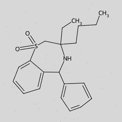 CCCCC1(CC)CS(=O)(=O)c2ccccc2C(c2ccccc2)N1